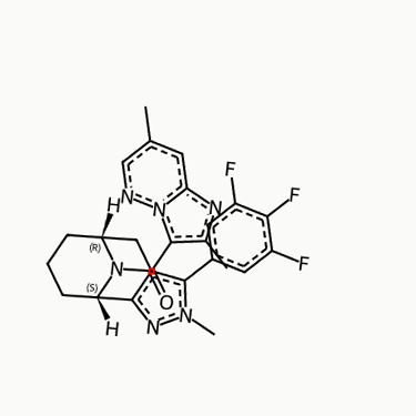 Cc1cnn2c(C(=O)N3[C@@H]4CCC[C@H]3c3nn(C)c(-c5cc(F)c(F)c(F)c5)c3C4)c(C)nc2c1